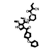 C=Nc1[nH]cc(C(=O)c2ccc(Oc3ccccc3)cc2)c1/C(=N\C)NC1CCCN(C(=O)/C(C#N)=C/C)C1